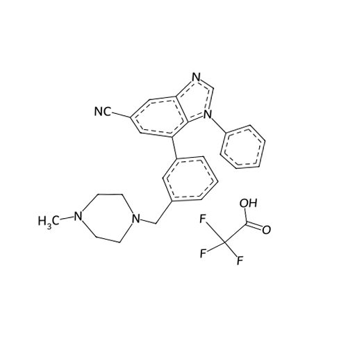 CN1CCN(Cc2cccc(-c3cc(C#N)cc4ncn(-c5ccccc5)c34)c2)CC1.O=C(O)C(F)(F)F